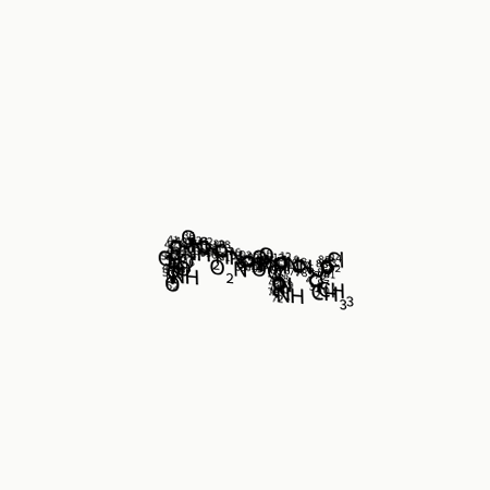 CC1(C)CCC(CN2CCN(c3ccc(C(=O)NS(=O)(=O)c4ccc(NCC5CCC(N6CCN(C(=O)C(N)c7cccc8c7C(=O)N(C7CCC(=O)NC7=O)C8=O)CC6)CC5)c([N+](=O)[O-])c4)c(Oc4cnc5[nH]ccc5c4)c3)CC2)=C(c2ccc(Cl)cc2)C1